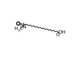 Cc1nc(CCCCCCCCCCCCCCCCCCCC(=O)O)cn1-c1ccccc1